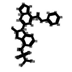 Cc1cc2c(NS(=O)(=O)C(F)F)cccc2n1-c1nc(NCc2ccccc2)c2cccn2n1